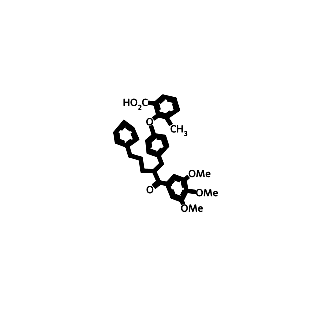 COc1cc(C(=O)C(CCCc2ccccc2)Cc2ccc(Oc3c(C)cccc3C(=O)O)cc2)cc(OC)c1OC